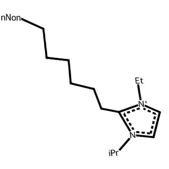 CCCCCCCCCCCCCCCc1n(C(C)C)cc[n+]1CC